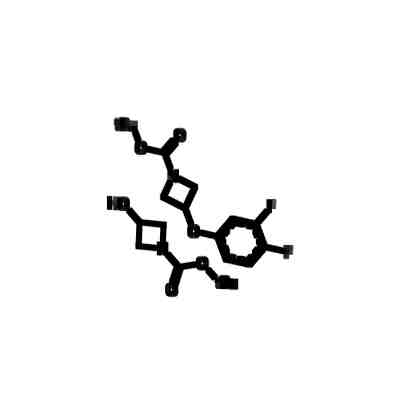 CC(C)(C)OC(=O)N1CC(O)C1.CC(C)(C)OC(=O)N1CC(Oc2ccc(F)c(F)c2)C1